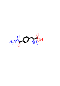 NNC(=O)c1ccc(C[C@@H](N)C(=O)O)cc1